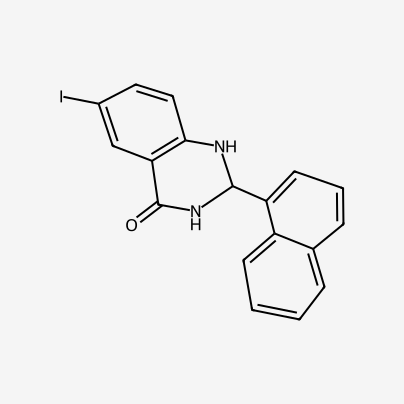 O=C1NC(c2cccc3ccccc23)Nc2ccc(I)cc21